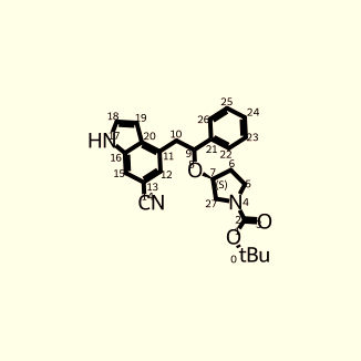 CC(C)(C)OC(=O)N1CC[C@H](OC(Cc2cc(C#N)cc3[nH]ccc23)c2ccccc2)C1